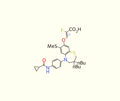 CCCCC1(CCCC)CSc2cc(O/C=C(\F)C(=O)O)c(SC)cc2N(c2ccc(NC(=O)C3CC3)cc2)C1